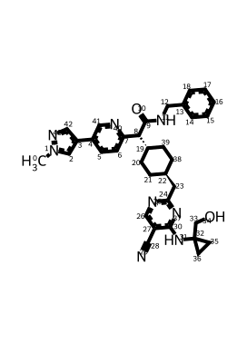 Cn1cc(-c2ccc(C(C(=O)NCc3ccccc3)[C@H]3CC[C@H](Cc4ncc(C#N)c(NC5(CO)CC5)n4)CC3)nc2)cn1